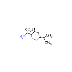 CCOC(=O)C(N)C1CCC(=C(C)C)CC1